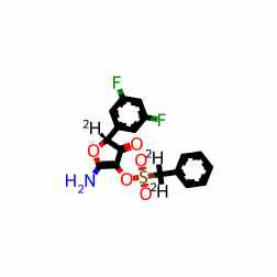 [2H]C([2H])(c1ccccc1)S(=O)(=O)OC1=C(N)O[C@]([2H])(c2cc(F)cc(F)c2)C1=O